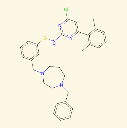 Cc1cccc(C)c1-c1cc(Cl)nc(NSc2cccc(CN3CCCN(Cc4ccccc4)CC3)c2)n1